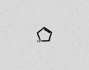 [C]1C=CCP1